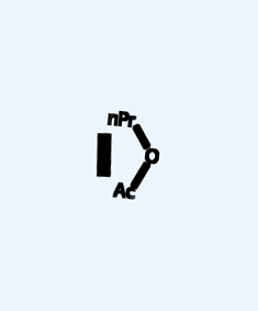 C=C.CCCOC(C)=O